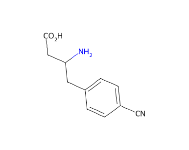 N#Cc1ccc(CC(N)CC(=O)O)cc1